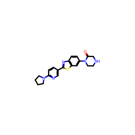 O=C1CNCCN1c1ccc2nc(-c3ccc(N4CCCC4)nc3)sc2c1